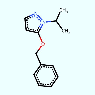 CC(C)n1nccc1OCc1ccccc1